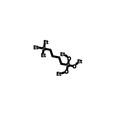 CCO[Si](CCCC[Si](CC)(CC)CC)(OCC)OCC